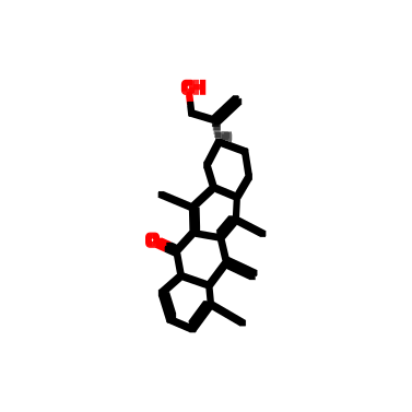 C=C1C2=C(C)C3CC[C@@H](C(=C)CO)CC3C(C)=C2C(=O)C2C=CC=C(C)C12